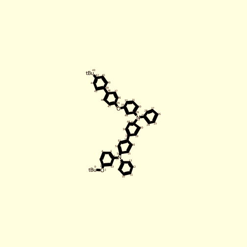 CC(C)(C)Oc1cccc(N(c2ccccc2)c2ccc(-c3ccc(N(c4ccccc4)c4cccc(Oc5ccc(-c6ccc(C(C)(C)C)cc6)cc5)c4)cc3)cc2)c1